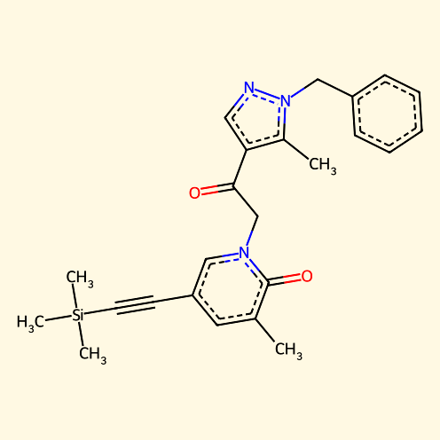 Cc1cc(C#C[Si](C)(C)C)cn(CC(=O)c2cnn(Cc3ccccc3)c2C)c1=O